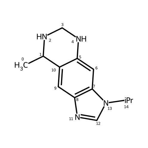 CC1NCNc2cc3c(cc21)ncn3C(C)C